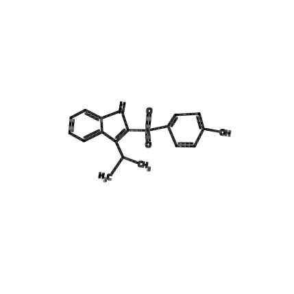 CC(C)c1c(S(=O)(=O)c2ccc(O)cc2)[nH]c2ccccc12